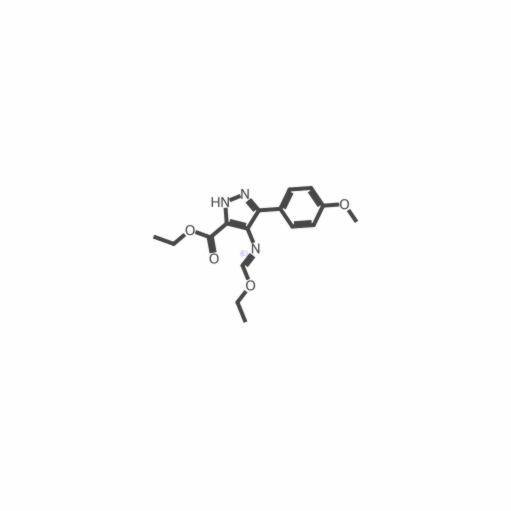 CCO/C=N/c1c(-c2ccc(OC)cc2)n[nH]c1C(=O)OCC